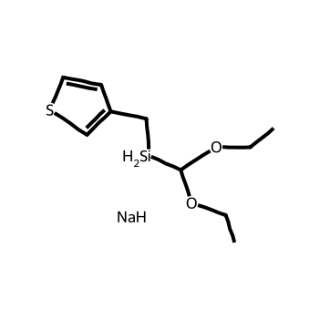 CCOC(OCC)[SiH2]Cc1ccsc1.[NaH]